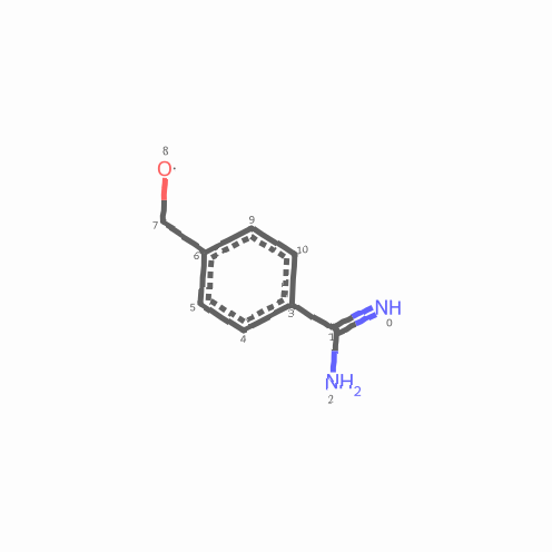 N=C(N)c1ccc(C[O])cc1